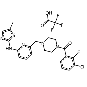 Cc1cnc(Nc2cccc(CN3CCN(C(=O)c4cccc(Cl)c4F)CC3)n2)s1.O=C(O)C(F)(F)F